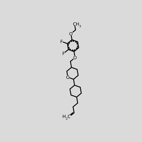 C=CCCC1CCC(C2CCC(COc3ccc(OCC)c(F)c3F)CO2)CC1